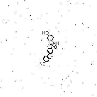 N#Cc1ccc(-c2ccc(S(=O)(=O)N[C@H]3CC[C@@H](O)CC3)cc2)c(F)c1